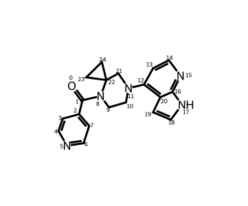 O=C(c1ccncc1)N1CCN(c2ccnc3[nH]ccc23)CC12CC2